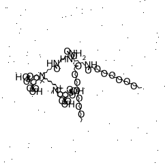 CCCOCCOCCOCCOCCOCCOCCC(=O)C[C@H](CCCCNC(=O)CCOCCOCCOCCOCCOCCOCCC)C(=O)NC(CCCCNC(=O)CCCCCN1/C(=C/C=C/C=C/C2=[N+](CC)c3ccc4c(S(=O)(=O)O)cc(S(=O)(=O)O)cc4c3C2(C)C)C(C)(C)c2c1ccc1c(S(=O)(=O)O)cc(S(=O)(=O)O)cc21)C(N)=O